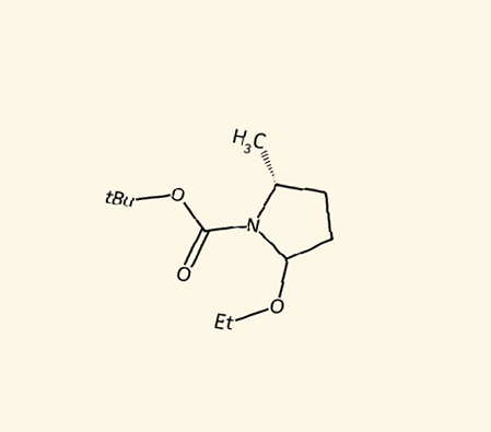 CCOC1CC[C@@H](C)N1C(=O)OC(C)(C)C